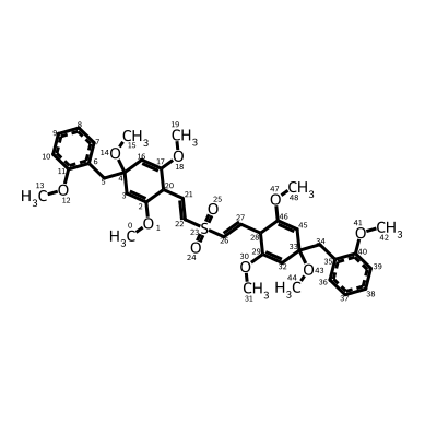 COC1=CC(Cc2ccccc2OC)(OC)C=C(OC)C1/C=C/S(=O)(=O)/C=C/C1C(OC)=CC(Cc2ccccc2OC)(OC)C=C1OC